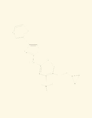 FC(F)(F)c1cc(Nc2nc(-c3cccnc3)cs2)ccc1OCC1CC1